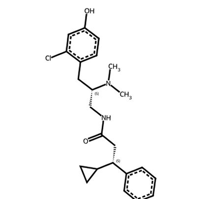 CN(C)[C@H](CNC(=O)C[C@H](c1ccccc1)C1CC1)Cc1ccc(O)cc1Cl